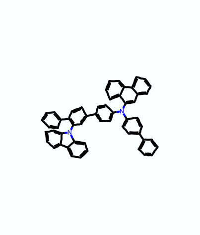 c1ccc(-c2ccc(N(c3ccc(-c4ccc(-c5ccccc5)c(-n5c6ccccc6c6ccccc65)c4)cc3)c3cc4ccccc4c4ccccc34)cc2)cc1